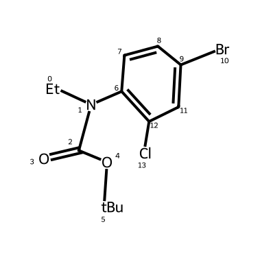 CCN(C(=O)OC(C)(C)C)c1ccc(Br)cc1Cl